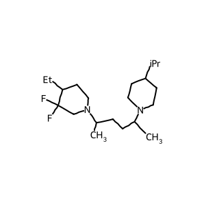 CCC1CCN(C(C)CCC(C)N2CCC(C(C)C)CC2)CC1(F)F